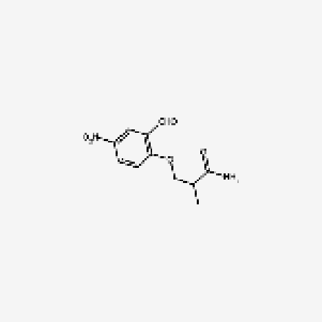 CC(COc1ccc([N+](=O)[O-])cc1C=O)C(N)=O